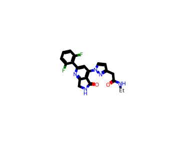 CCNC(=O)Cc1ccn(-c2cc(-c3c(F)cccc3F)nc3c2C(=O)NC3)n1